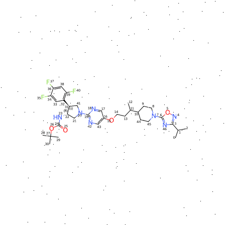 CC(C)c1noc(N2CCC(C(C)CCOc3cnc(N4C[C@H](NC(=O)OC(C)(C)C)[C@@H](c5cc(F)c(F)cc5F)C4)nc3)CC2)n1